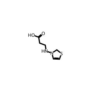 O=C(O)CCNN1C=CSC1